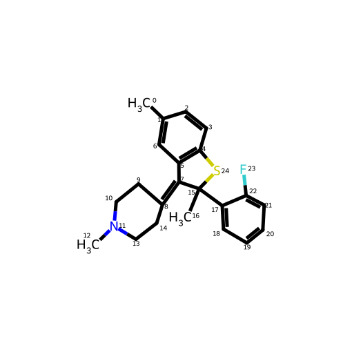 Cc1ccc2c(c1)C(=C1CCN(C)CC1)C(C)(c1ccccc1F)S2